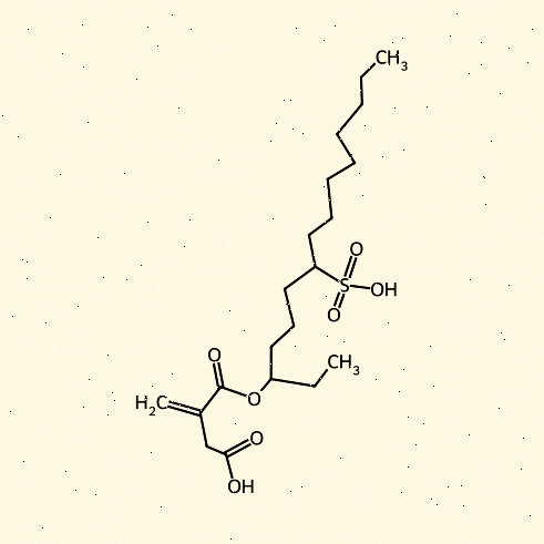 C=C(CC(=O)O)C(=O)OC(CC)CCCC(CCCCCCCC)S(=O)(=O)O